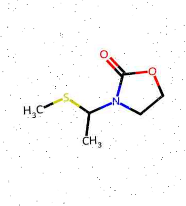 CSC(C)N1CCOC1=O